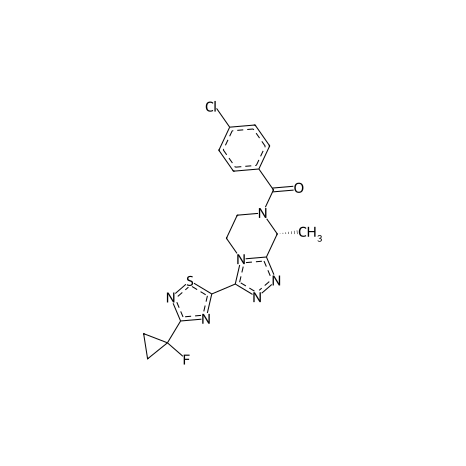 C[C@@H]1c2nnc(-c3nc(C4(F)CC4)ns3)n2CCN1C(=O)c1ccc(Cl)cc1